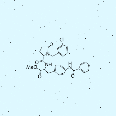 COC(=O)[C@H](Cc1ccc(NC(=O)c2ccccc2)cc1)NC(=O)[C@@H]1CCC(=O)N1Cc1cccc(Cl)c1